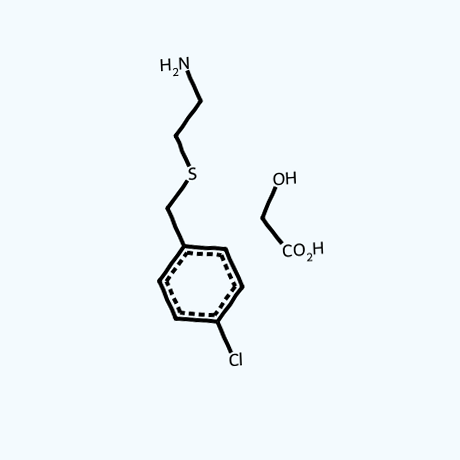 NCCSCc1ccc(Cl)cc1.O=C(O)CO